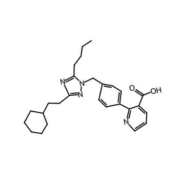 CCCCc1nc(CCC2CCCCC2)nn1Cc1ccc(-c2ncccc2C(=O)O)cc1